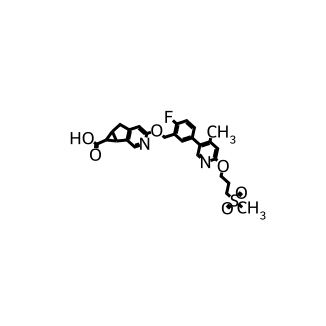 Cc1cc(OCCCS(C)(=O)=O)ncc1-c1ccc(F)c(COc2cc3c(cn2)C2C(C3)C2C(=O)O)c1